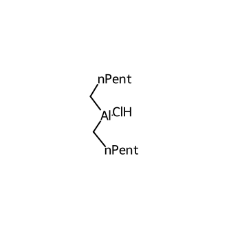 CCCCC[CH2][Al][CH2]CCCCC.Cl